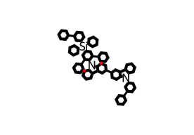 c1ccc(-c2cccc(-n3c4ccccc4c4cc(-c5ccc6c(c5)c5ccccc5n6-c5c(-c6ccccc6)cc([Si](c6ccccc6)(c6ccccc6)c6cccc(-c7ccccc7)c6)cc5-c5ccccc5)ccc43)c2)cc1